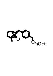 CCCCCCCCOCc1ccc(/C=C2\C(=O)C3(C)CCC2C3(C)C)cc1